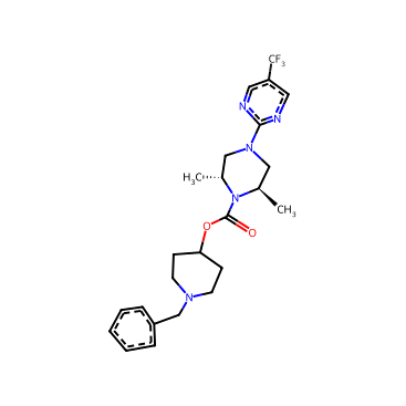 C[C@@H]1CN(c2ncc(C(F)(F)F)cn2)C[C@@H](C)N1C(=O)OC1CCN(Cc2ccccc2)CC1